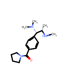 CN[C@@H](C)[C@H](c1ccc(C(=O)N2CCCC2)cc1)N(C)C